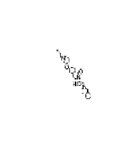 O=C1c2ccc(OC3CCCN(CCF)C3)cc2CCN1CC(O)CN1CCc2ccccc2C1